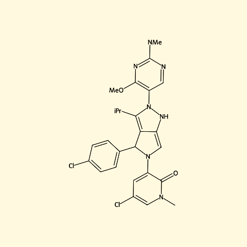 CNc1ncc(N2NC3=CN(c4cc(Cl)cn(C)c4=O)C(c4ccc(Cl)cc4)C3=C2C(C)C)c(OC)n1